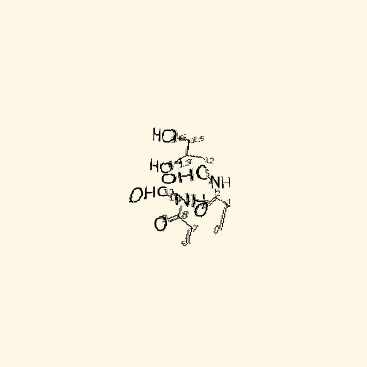 C=CC(=O)NC=O.C=CC(=O)NC=O.CC(O)CO